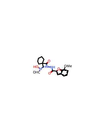 COc1cccc2cc(C(=O)NNC(=O)C3(CN(O)C=O)CCCCC3)oc12